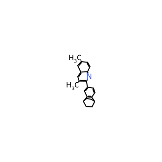 Cc1ccc2nc(-c3ccc4c(c3)C3CCC4CC3)c(C)cc2c1